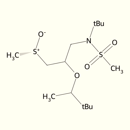 CC(OC(CN(C(C)(C)C)S(C)(=O)=O)C[S@+](C)[O-])C(C)(C)C